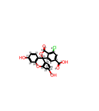 O=C(O)c1cc(Cl)c2c(c1)C1(OC2=O)c2ccc(O)cc2Oc2cc(O)ccc21